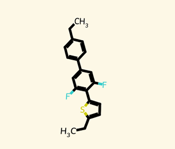 CCc1ccc(-c2cc(F)c(-c3ccc(CC)s3)c(F)c2)cc1